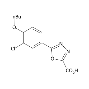 CCCCOc1ccc(-c2nnc(C(=O)O)o2)cc1Cl